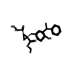 CCOC(=O)[C@@]1(Cc2ccc(O)c(C(C)c3ccccc3)c2)C[C@@H]1C(=O)NO